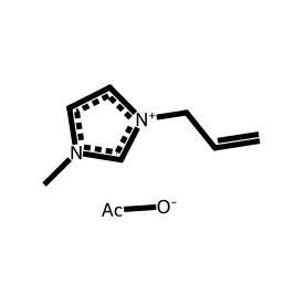 C=CC[n+]1ccn(C)c1.CC(=O)[O-]